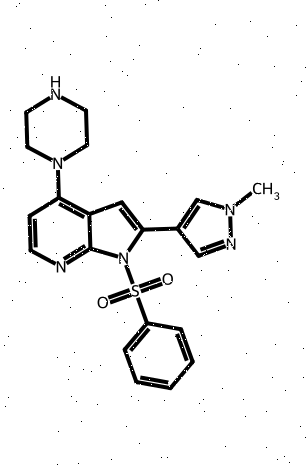 Cn1cc(-c2cc3c(N4CCNCC4)ccnc3n2S(=O)(=O)c2ccccc2)cn1